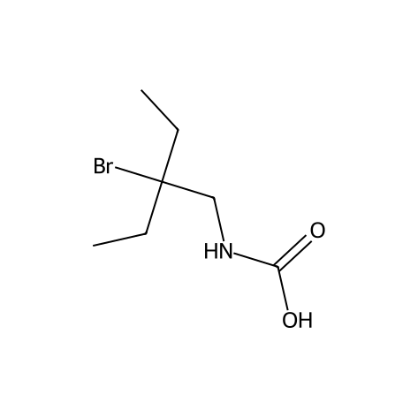 CCC(Br)(CC)CNC(=O)O